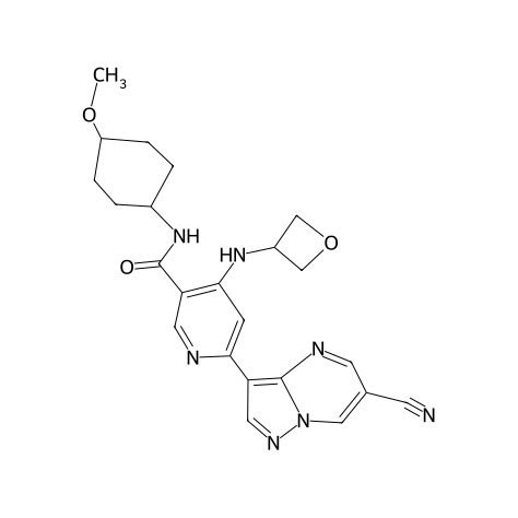 COC1CCC(NC(=O)c2cnc(-c3cnn4cc(C#N)cnc34)cc2NC2COC2)CC1